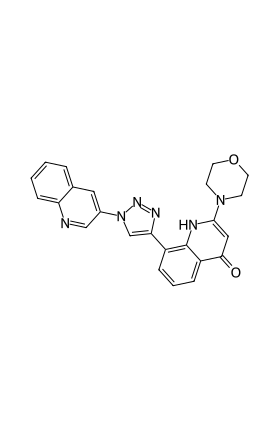 O=c1cc(N2CCOCC2)[nH]c2c(-c3cn(-c4cnc5ccccc5c4)nn3)cccc12